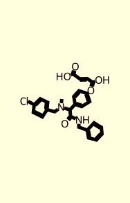 CN(Cc1ccc(Cl)cc1)C(C(=O)NCc1ccccc1)c1ccccc1.O=C(O)C=CC(=O)O